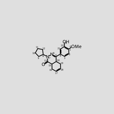 COc1ccc(C2=NN(C3CCCC3)C(=O)C3CC=CCC23)cc1O